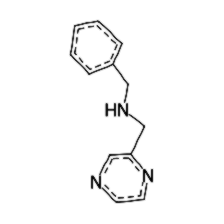 c1ccc(CNCc2cnccn2)cc1